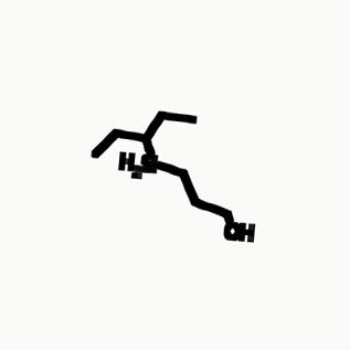 CCC(CC)[SiH2]CCCO